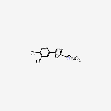 O=[N+]([O-])/C=C/c1ccc(-c2ccc(Cl)c(Cl)c2)o1